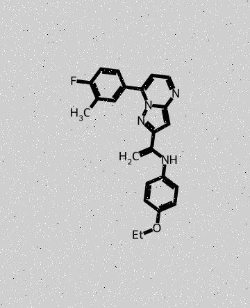 C=C(Nc1ccc(OCC)cc1)c1cc2nccc(-c3ccc(F)c(C)c3)n2n1